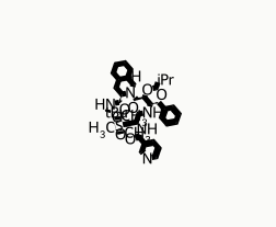 CC(C)C(=O)O[C@H](CN1C[C@H]2CCCCC2C[C@H]1C(=O)NC(C)(C)C)[C@H](Cc1ccccc1)NC(=O)[C@@H](NC(=O)c1cccnc1)C(C)(C)S(C)(=O)=O